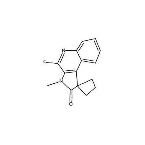 CN1C(=O)C2(CCC2)c2c1c(F)nc1ccccc21